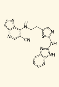 N#Cc1cnc2ccsc2c1NCCc1cnc(Nc2nc3ccccc3[nH]2)s1